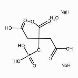 O.O=C(O)CC(CC(=O)O)(OP(=O)(O)O)C(=O)O.[NaH].[NaH]